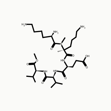 COC(=O)[C@@H](NC(=O)[C@@H](NC(=O)[C@H](CCC(=O)O)NC(=O)[C@](C)(CCCCN)N(C)C(=O)[C@H](N)CCCCN)C(C)C)C(C)C